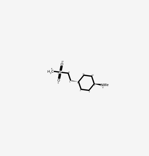 CN[C@H]1CC[C@H](CCS(C)(=O)=O)CC1